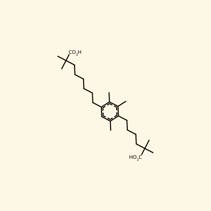 Cc1cc(CCCCCCC(C)(C)C(=O)O)c(C)c(C)c1CCCCC(C)(C)C(=O)O